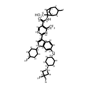 CC1CC2CC(C1)C(NC(=O)c1cnc(-c3cn(C4CCC(F)CC4)c4cc(O[C@H]5CC[C@H](N6CC(F)(F)C6)CC5)ccc34)nc1C(F)(F)F)(C(=O)O)C2